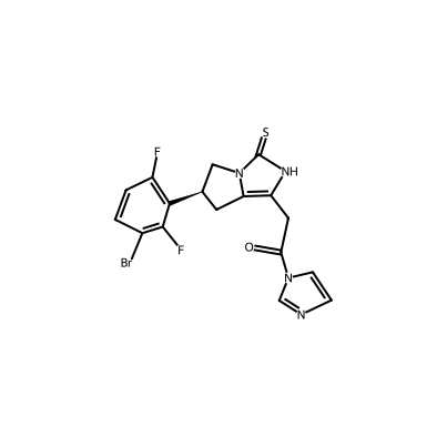 O=C(Cc1[nH]c(=S)n2c1C[C@@H](c1c(F)ccc(Br)c1F)C2)n1ccnc1